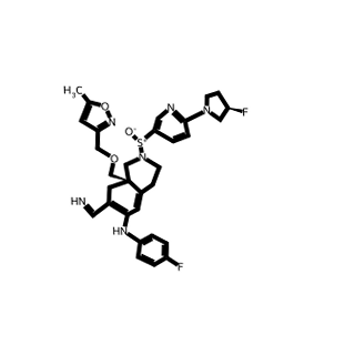 Cc1cc(COC[C@]23CC(C=N)=C(Nc4ccc(F)cc4)C=C2CCN([S+]([O-])c2ccc(N4CC[C@@H](F)C4)nc2)C3)no1